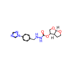 O=C(NNCc1ccc(-n2cncn2)cc1)OC1CO[C@H]2OCC[C@@H]12